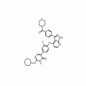 Cn1c(CC2CCCCC2)ncc(-c2ccc(Oc3ccnc4[nH]nc(-c5ccc(C(=O)N6CCOCC6)cc5)c34)c(F)c2)c1=O